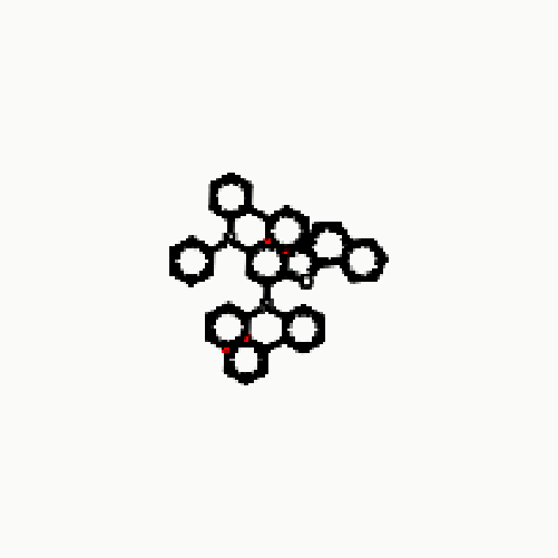 c1ccc(-c2ccccc2N(c2ccccc2)c2cc(N(c3ccccc3)c3ccccc3-c3ccccc3)c3oc4c5ccccc5ccc4c3c2)cc1